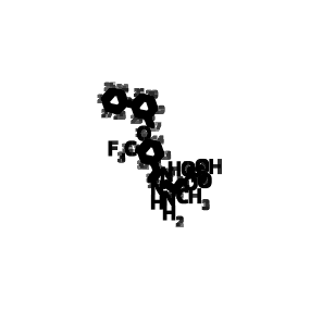 C[C@](N)(COP(=O)(O)O)c1nc(-c2ccc(OCc3cccc(-c4ccccc4)c3)c(C(F)(F)F)c2)c[nH]1